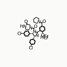 CCOc1ccc(C(=O)N2CCCCC2)cc1C1=N[C@@H](c2ccc(Cl)cc2)[C@@H](c2ccc(Cl)cc2)N1C(=O)N1CCNC(=O)C1.Cl